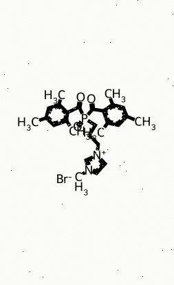 Cc1cc(C)c(C(=O)P(=O)(CCC[n+]2ccn(C)c2)C(=O)c2c(C)cc(C)cc2C)c(C)c1.[Br-]